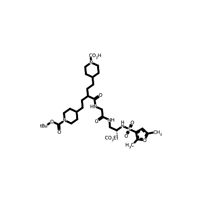 CCOC(=O)[C@H](CNC(=O)CNC(=O)C(CCC1CCN(C(=O)O)CC1)CCC1CCN(C(=O)OC(C)(C)C)CC1)NS(=O)(=O)c1cc(C)oc1C